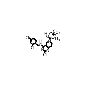 CC(C)(C)OC(=O)N1CCc2nc(Cl)nc(NCc3ccc(Cl)cc3Cl)c2C1